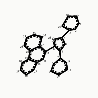 c1ccc(-c2cc(-c3ccccc3)c(-c3cc4ccccc4c4ccccc34)s2)cc1